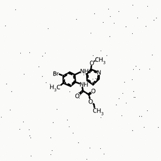 CCOC(=O)C(=O)Nc1cc(C)c(Br)cc1Nc1cccnc1OC